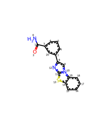 NC(=O)c1cccc(-c2cn3c(n2)sc2ccccc23)c1